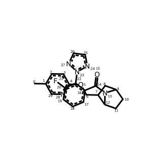 Cc1ccc(OCC2CC3CCC2N3C(=O)c2cccc(F)c2-n2nccn2)nc1